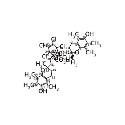 Cc1c(C)c2c(c(C)c1O)CCC(C)(CCC1(C(=O)O)C3(Cl)C(Cl)=C(Cl)C(Cl)(C3(Cl)Cl)C1(CCC1(C)CCc3c(C)c(O)c(C)c(C)c3O1)C(=O)O)O2